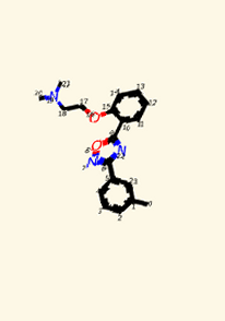 Cc1cccc(-c2noc(-c3ccccc3OCCN(C)C)n2)c1